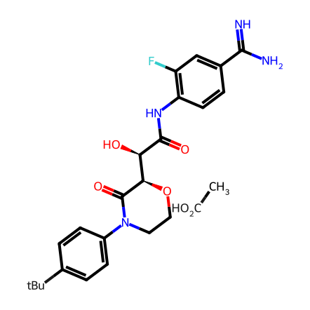 CC(=O)O.CC(C)(C)c1ccc(N2CCO[C@H]([C@@H](O)C(=O)Nc3ccc(C(=N)N)cc3F)C2=O)cc1